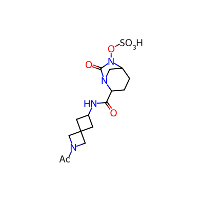 CC(=O)N1CC2(CC(NC(=O)C3CCC4CN3C(=O)N4OS(=O)(=O)O)C2)C1